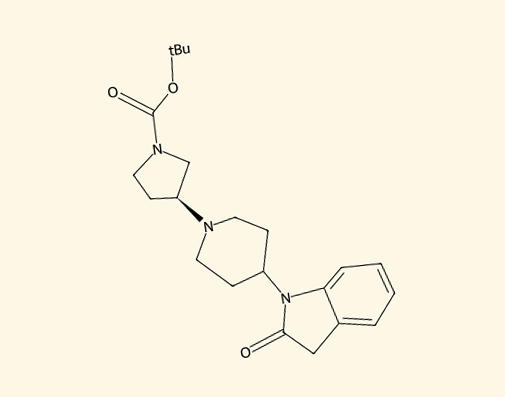 CC(C)(C)OC(=O)N1CC[C@H](N2CCC(N3C(=O)Cc4ccccc43)CC2)C1